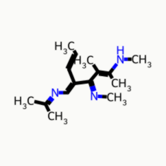 C/C=C/C(=C\N=C(C)C)C(=N/C)/C(C)=C(\C)NC